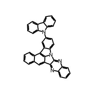 c1ccc2c(c1)cc1c3nc4ccccc4nc3n3c4ccc(-n5c6ccccc6c6ccccc65)cc4c2c13